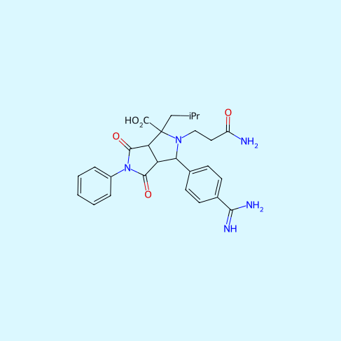 CC(C)CC1(C(=O)O)C2C(=O)N(c3ccccc3)C(=O)C2C(c2ccc(C(=N)N)cc2)N1CCC(N)=O